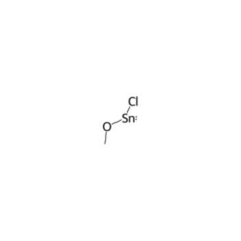 C[O][Sn][Cl]